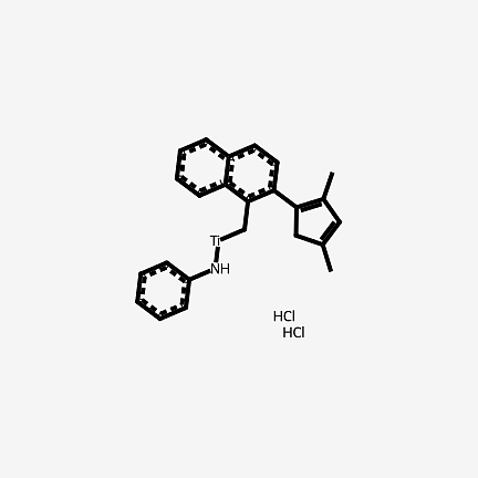 CC1=CC(C)=C(c2ccc3ccccc3c2[CH2][Ti][NH]c2ccccc2)C1.Cl.Cl